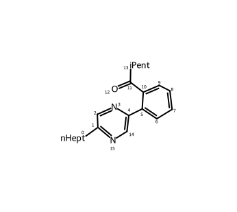 CCCCCCCc1cnc(-c2ccccc2C(=O)C(C)CCC)cn1